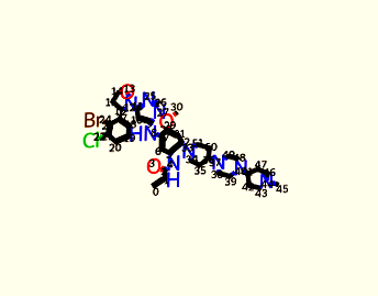 C=CC(=O)Nc1cc(Nc2cc(N3OCC[C@@H]3c3cccc(Cl)c3Br)ncn2)c(OC)cc1N1CCC(N2CCN(C3CCN(C)CC3)CC2)CC1